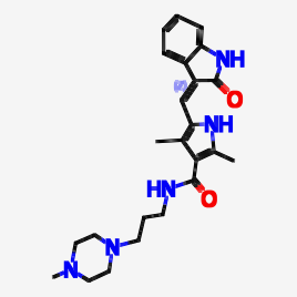 Cc1[nH]c(/C=C2\C(=O)Nc3ccccc32)c(C)c1C(=O)NCCCN1CCN(C)CC1